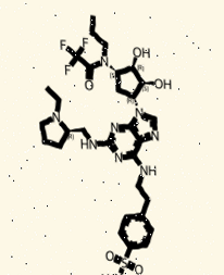 CCCN(C(=O)C(F)(F)F)[C@H]1C[C@@H](n2cnc3c(NCCc4ccc(S(N)(=O)=O)cc4)nc(NC[C@H]4CCCN4CC)nc32)[C@H](O)[C@@H]1O